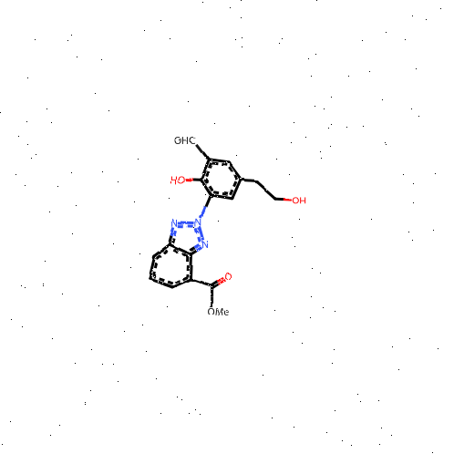 COC(=O)c1cccc2nn(-c3cc(CCO)cc(C=O)c3O)nc12